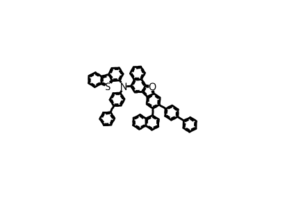 c1ccc(-c2ccc(-c3cc4oc5c6ccccc6c(N(c6ccc(-c7ccccc7)cc6)c6cccc7c6sc6ccccc67)cc5c4cc3-c3cccc4ccccc34)cc2)cc1